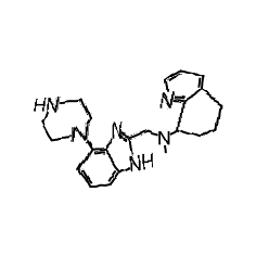 CN(Cc1nc2c(N3CCNCC3)cccc2[nH]1)C1CCCc2cccnc21